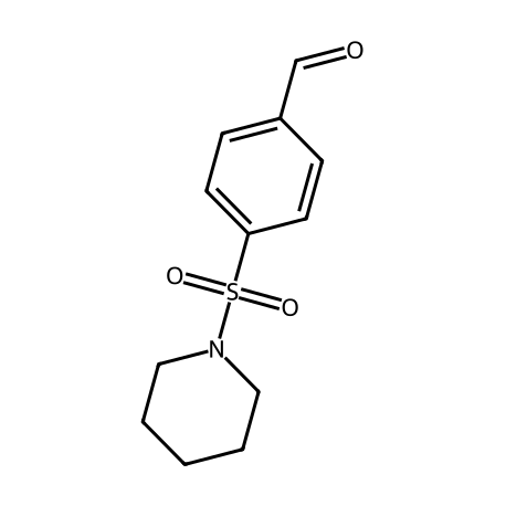 O=Cc1ccc(S(=O)(=O)N2CCCCC2)cc1